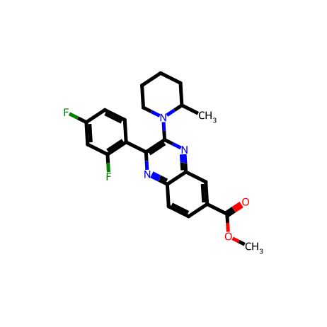 COC(=O)c1ccc2nc(-c3ccc(F)cc3F)c(N3CCCCC3C)nc2c1